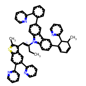 CC/C(=C\c1c(C)sc2cc(-c3ccccn3)c(-c3ccccn3)cc12)n1c2ccc(C3=CC=CC(C)C3c3ccccn3)cc2c2cc(-c3ccccc3-c3ccccn3)ccc21